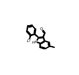 Cc1ccc2[nH]c(-c3ccccc3Cl)c(C=O)c2c1